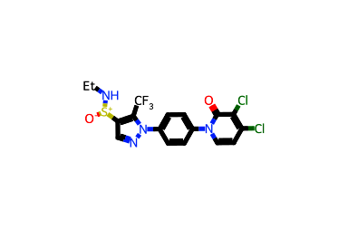 CCN[S+]([O-])c1cnn(-c2ccc(-n3ccc(Cl)c(Cl)c3=O)cc2)c1C(F)(F)F